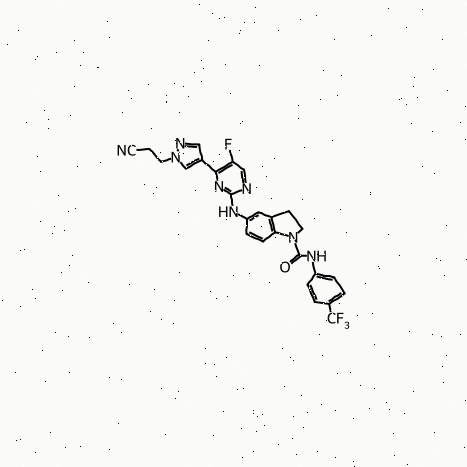 N#CCCn1cc(-c2nc(Nc3ccc4c(c3)CCN4C(=O)Nc3ccc(C(F)(F)F)cc3)ncc2F)cn1